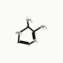 NC1=NC=CNC1N